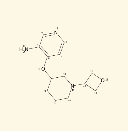 Nc1cnccc1OC1CCCN(C2COC2)C1